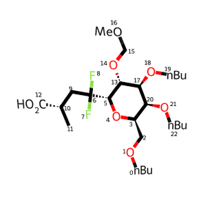 CCCCOC[C@H]1O[C@H](C(F)(F)C[C@H](C)C(=O)O)[C@H](OCOC)[C@@H](OCCCC)[C@H]1OCCCC